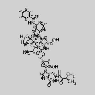 CC(C)C(=O)Nc1nc2c(ncn2[C@@H]2O[C@H](COP(=O)(N[C@H]3[C@@H](O[Si](C)(C)C(C)(C)C)[C@H](n4cnc5c(NC(=O)c6ccccc6)ncnc54)O[C@@H]3CO)OCCC#N)C[C@H]2O)c(=O)[nH]1